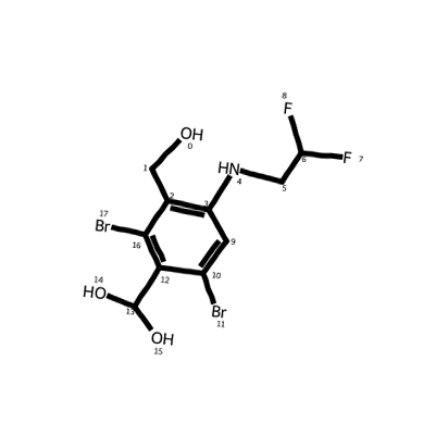 OCc1c(NCC(F)F)cc(Br)c(C(O)O)c1Br